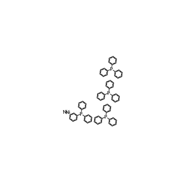 [Ni].[Ni].c1ccc(P(c2ccccc2)c2ccccc2)cc1.c1ccc(P(c2ccccc2)c2ccccc2)cc1.c1ccc(P(c2ccccc2)c2ccccc2)cc1.c1ccc(P(c2ccccc2)c2ccccc2)cc1